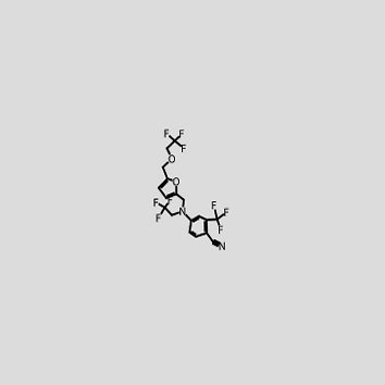 N#Cc1ccc(N(Cc2ccc(COCC(F)(F)F)o2)CC(F)(F)F)cc1C(F)(F)F